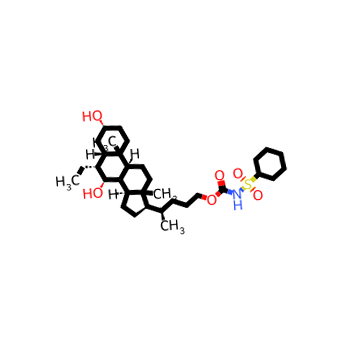 CC[C@H]1[C@@H](O)C2[C@@H]3CC[C@H]([C@H](C)CCCOC(=O)NS(=O)(=O)C4CCCCC4)C3(C)CC[C@@H]2C2(C)CC[C@@H](O)C[C@@H]12